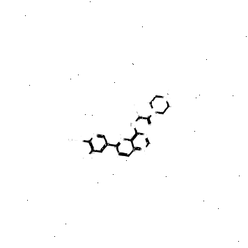 COc1ncc(-c2ccc3ncnc(N[C@@H](C)C(=O)N4CCN(C)CC4)c3n2)cc1C#N